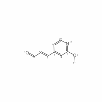 COc1cc(C=CC=O)ccn1